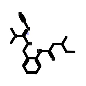 CCC(C)CC(=O)Nc1ccccc1CN/C(=N/C#N)N(C)C